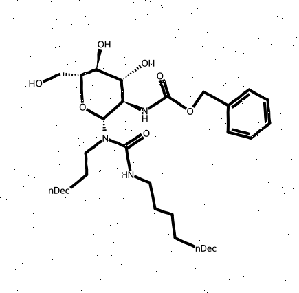 CCCCCCCCCCCCCCNC(=O)N(CCCCCCCCCCCC)[C@@H]1O[C@H](CO)[C@@H](O)[C@H](O)[C@H]1NC(=O)OCc1ccccc1